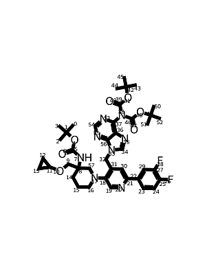 CC(C)(C)OC(=O)NC1(COC2CC2)CCCN(c2cnc(-c3ccc(F)c(F)c3)cc2Cn2cnc3c(N(C(=O)OC(C)(C)C)C(=O)OC(C)(C)C)ncnc32)C1